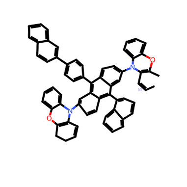 C/C=C\C1=C(C)Oc2ccccc2N1c1ccc2c(-c3ccc(-c4ccc5ccccc5c4)cc3)c3cc(N4C5=C(CCC=C5)Oc5ccccc54)ccc3c(-c3cccc4ccccc34)c2c1